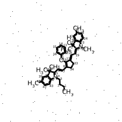 CCCC[N+]1=C(/C=C/C2=C(Oc3ccccc3)C(=C/C=C3/N(C)c4ccc(C)cc4C3(C)C)/CC2)C(C)(C)c2cc(C)ccc21